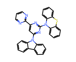 c1cnc(-c2cc(-n3c4ccccc4c4ccccc43)nc(N3c4ccccc4Sc4ccccc43)n2)nc1